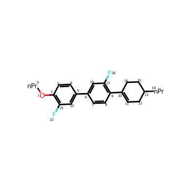 CCCOc1ccc(-c2ccc(C3=CCC(CCC)CC3)c(F)c2)cc1F